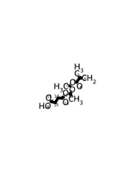 C=C(C)C(=O)OC(C)OC(C)OC(=O)CCC(=O)O